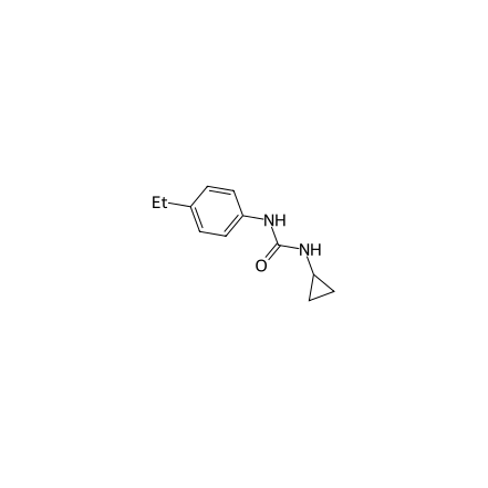 CCc1ccc(NC(=O)NC2CC2)cc1